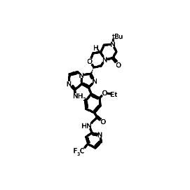 CCOc1cc(C(=O)Nc2cc(C(F)(F)F)ccn2)ccc1-c1nc([C@H]2CN3C(=O)CN(C(C)(C)C)C[C@@H]3CO2)n2ccnc(N)c12